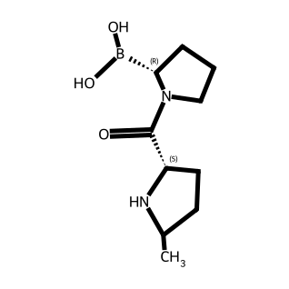 CC1CC[C@@H](C(=O)N2CCC[C@H]2B(O)O)N1